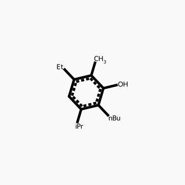 CCCCc1c(C(C)C)cc(CC)c(C)c1O